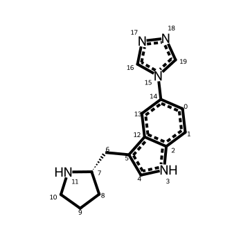 c1cc2[nH]cc(C[C@@H]3CCCN3)c2cc1-n1cnnc1